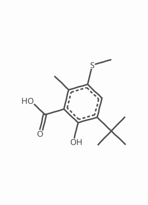 CSc1cc(C(C)(C)C)c(O)c(C(=O)O)c1C